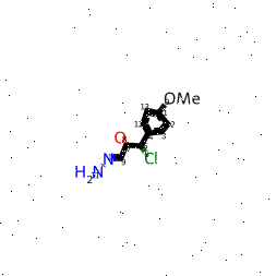 COc1ccc(C(Cl)C(=O)C=NN)cc1